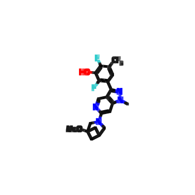 COC12CC(CN(c3cc4c(cn3)c(-c3cc(C(F)(F)F)c(F)c(O)c3F)nn4C)C1)C2